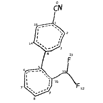 N#Cc1ccc(-c2ccccc2C(F)F)cc1